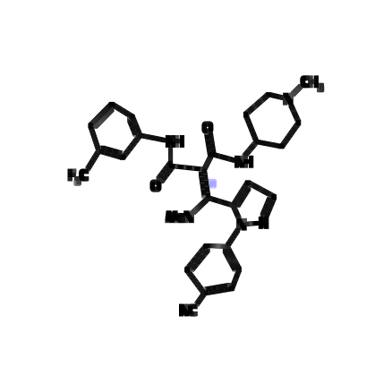 CN/C(=C(\C(=O)Nc1cccc(C(F)(F)F)c1)C(=O)NC1CCN(C)CC1)c1ccnn1-c1ccc(C#N)cc1